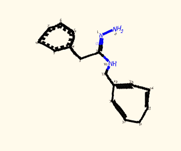 N/N=C(/Cc1ccccc1)NCC1=CC=CCC=C1